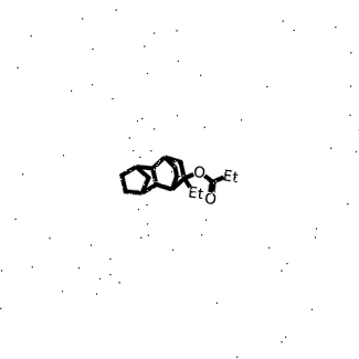 CCC(=O)OC1(CC)CC2CCC1C1C3CCC(C3)C21